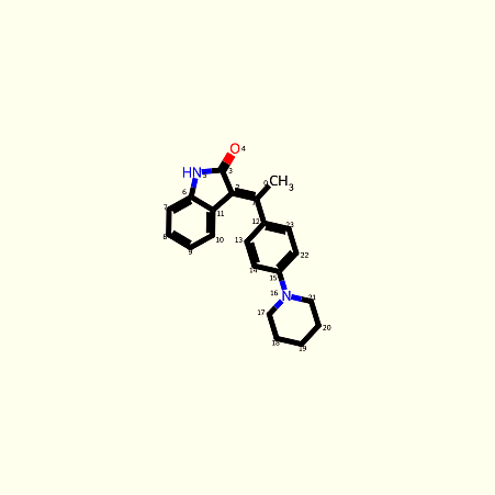 C/C(=C1\C(=O)Nc2ccccc21)c1ccc(N2CCCCC2)cc1